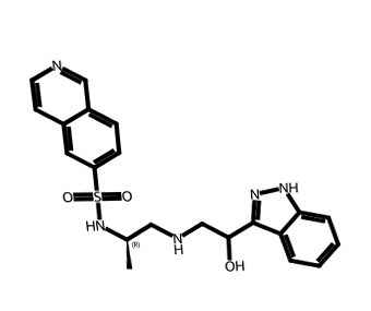 C[C@H](CNCC(O)c1n[nH]c2ccccc12)NS(=O)(=O)c1ccc2cnccc2c1